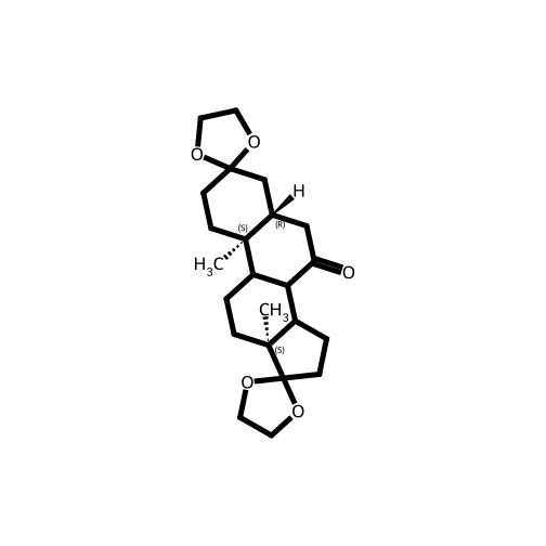 C[C@]12CCC3C(C(=O)C[C@H]4CC5(CC[C@]34C)OCCO5)C1CCC21OCCO1